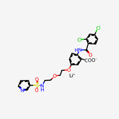 O=C(Nc1ccc(OCCOCCNS(=O)(=O)c2cccnc2)cc1C(=O)[O-])c1ccc(Cl)cc1Cl.[Li+]